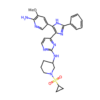 COc1cc(-c2[nH]c(-c3ccccc3)nc2-c2ccnc(NC3CCCN(S(=O)(=O)C4CC4)C3)n2)cnc1N